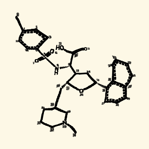 Cc1ccc(S(=O)(=O)N[C@H](C(=O)O)C2C[C@H](c3cccc4ccccc34)O[C@@H]2CC2CCCN(C)C2)cc1